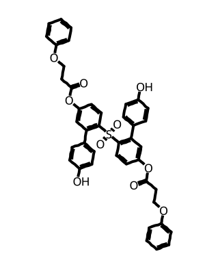 O=C(CCOc1ccccc1)Oc1ccc(S(=O)(=O)c2ccc(OC(=O)CCOc3ccccc3)cc2-c2ccc(O)cc2)c(-c2ccc(O)cc2)c1